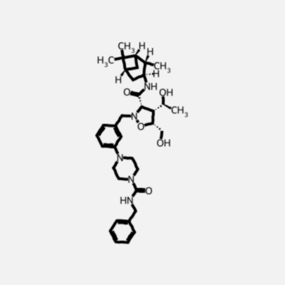 C[C@@H]1[C@@H](NC(=O)[C@@H]2[C@H]([C@H](C)O)[C@H](CO)ON2Cc2cccc(N3CCN(C(=O)NCc4ccccc4)CC3)c2)C[C@H]2C[C@@H]1C2(C)C